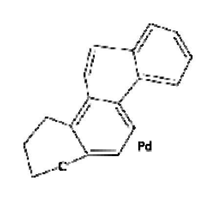 [Pd].c1ccc2c(c1)ccc1c3c(ccc12)CCCC3